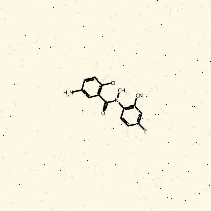 CN(C(=O)c1cc(N)ccc1Cl)c1ccc(F)cc1C#N